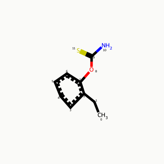 CCc1ccccc1OC(N)=S